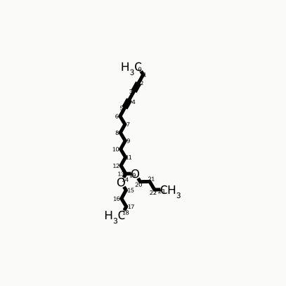 CCC#CC#CCCCCCCCC(OCCCC)OCCCC